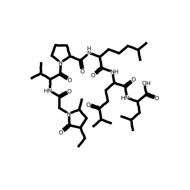 CCC1CC(C)N(CC(=O)NC(C(=O)N2CCCC2C(=O)NC(CCCC(C)C)C(=O)NC(CCC(=O)C(C)C)C(=O)NC(CC(C)C)C(=O)O)C(C)C)C1=O